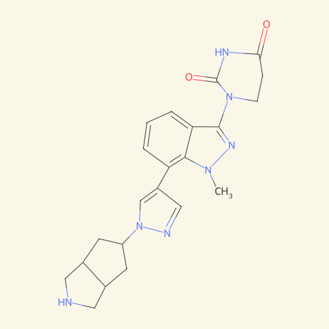 Cn1nc(N2CCC(=O)NC2=O)c2cccc(-c3cnn(C4CC5CNCC5C4)c3)c21